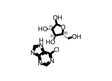 Clc1ncnc2nc[nH]c12.OC[C@H]1OC(O)[C@@H](O)[C@@H]1O